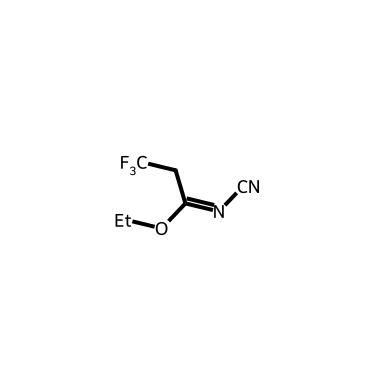 CCO/C(CC(F)(F)F)=N/C#N